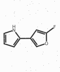 Fc1cc(-c2ccc[nH]2)co1